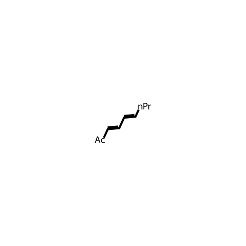 CCCC=CC=CC(C)=O